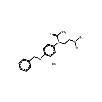 Br.CCC(C)N(CC)CCN(C(N)=O)c1ccc(OCc2ccccc2)cc1